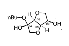 CCCCO[C@@]1(O)CO[C@@H]2[C@H](O)CO[C@@H]21